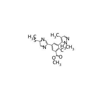 COC(=O)c1cc(-c2cnc(SC)cn2)cc(-c2c(C)cnn2C)c1C